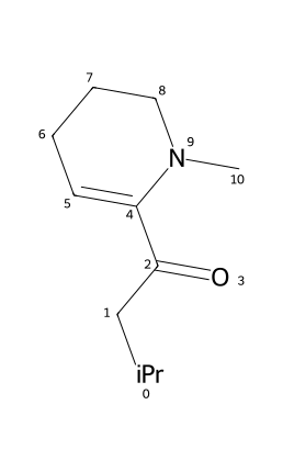 CC(C)CC(=O)C1=CCCCN1C